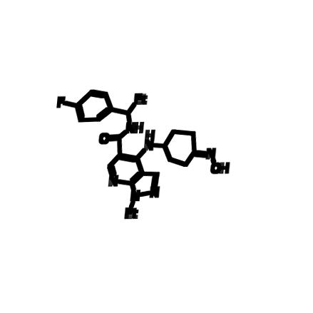 CCC(NC(=O)c1cnc2c(cnn2CC)c1NC1CCC(=NO)CC1)c1ccc(F)cc1